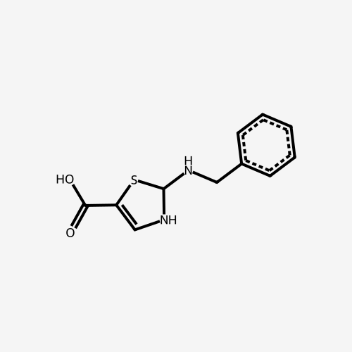 O=C(O)C1=CNC(NCc2ccccc2)S1